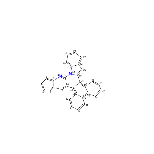 c1ccc2nc3c(cc2c1)c1c2ccccc2c2ccccc2c1c1cc2ccccc2n13